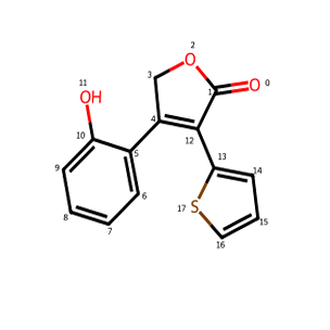 O=C1OCC(c2ccccc2O)=C1c1cccs1